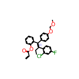 C=CC(=O)Oc1ccccc1/C(=C(\CC)c1ccc(F)cc1Cl)c1ccc(OCOC)cc1